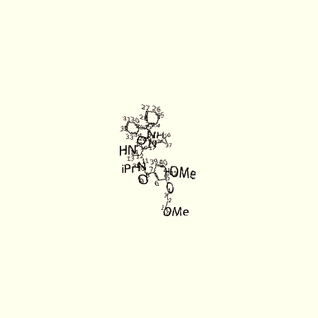 COCCCOc1cc(C(=O)N(C[C@@H]2CNC[C@H]2CN(C(=O)NC(c2ccccc2)c2ccccc2)C2CC2)C(C)C)ccc1OC